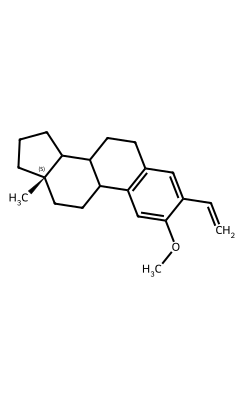 C=Cc1cc2c(cc1OC)C1CC[C@]3(C)CCCC3C1CC2